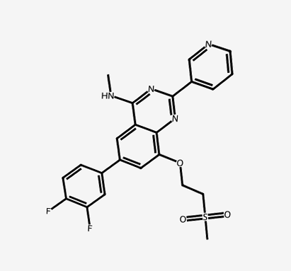 CNc1nc(-c2cccnc2)nc2c(OCCS(C)(=O)=O)cc(-c3ccc(F)c(F)c3)cc12